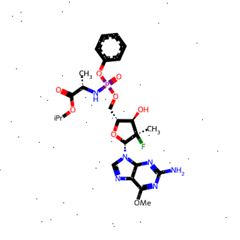 COC1=NC(N)=NC2C1N=CN2[C@@H]1O[C@H](COP(=O)(N[C@@H](C)C(=O)OC(C)C)Oc2ccccc2)[C@@H](O)[C@@]1(C)F